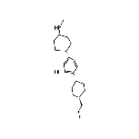 CCC[C@H]1CC[C@H](c2ccc([C@H]3CC[C@H](PC)CC3)cc2)CC1.I